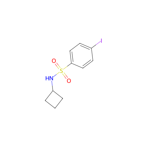 O=S(=O)(NC1CCC1)c1ccc(I)cc1